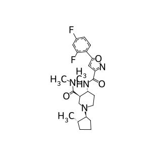 C[C@H]1CCC[C@@H]1N1CC[C@@H](NC(=O)c2cc(-c3ccc(F)cc3F)on2)[C@H](C(=O)N(C)C)C1